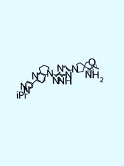 CC(C)n1cc(-c2ccc3c(n2)CCCN3c2n[nH]c3nc(N4CCC5(CC4)CO[C@@H](C)[C@H]5N)cnc23)cn1